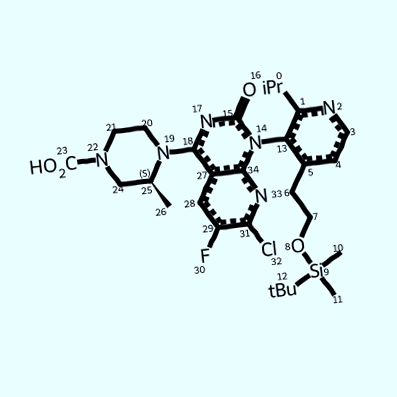 CC(C)c1nccc(CCO[Si](C)(C)C(C)(C)C)c1-n1c(=O)nc(N2CCN(C(=O)O)C[C@@H]2C)c2cc(F)c(Cl)nc21